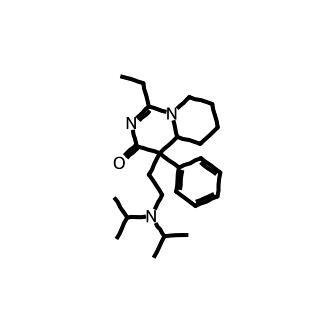 CCC1=NC(=O)C(CCN(C(C)C)C(C)C)(c2ccccc2)C2CCCCN12